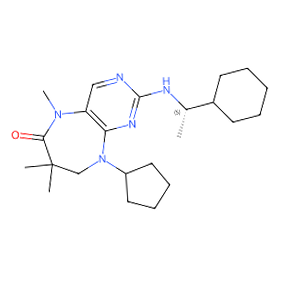 C[C@H](Nc1ncc2c(n1)N(C1CCCC1)CC(C)(C)C(=O)N2C)C1CCCCC1